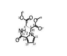 COC(=O)C[C@H](C(=O)OC)n1cccc1C(N)=O